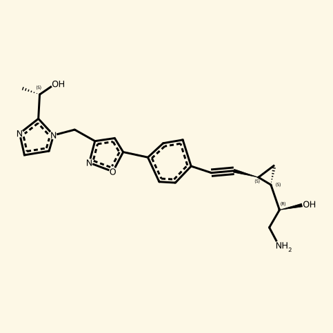 C[C@H](O)c1nccn1Cc1cc(-c2ccc(C#C[C@H]3C[C@@H]3[C@@H](O)CN)cc2)on1